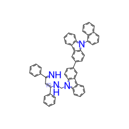 N=C(/C=C(\NCn1c2ccccc2c2cc(-c3ccc4c(c3)c3ccccc3n4-c3cccc4ccccc34)ccc21)c1ccccc1)c1ccccc1